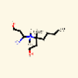 C[N+](C)(C(N)CCO)C(CCO)(CCCS(=O)(=O)O)C(=O)[O-]